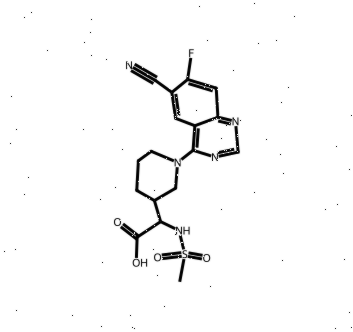 CS(=O)(=O)NC(C(=O)O)C1CCCN(c2ncnc3cc(F)c(C#N)cc23)C1